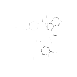 COC1CCC(C(C)n2c(C)c(C(=O)NCc3c(SC)cc(C)[nH]c3=O)c3cncnc32)CC1